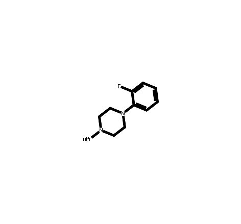 [CH2]CCN1CCN(c2ccccc2F)CC1